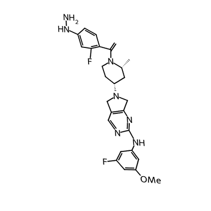 C=C(c1ccc(NN)cc1F)N1CC[C@@H](N2Cc3cnc(Nc4cc(F)cc(OC)c4)nc3C2)C[C@H]1C